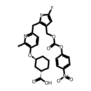 Cc1nc(Cc2sc(F)cc2COC(=O)Oc2ccc([N+](=O)[O-])cc2)ccc1O[C@H]1CCC[C@H](C(=O)O)C1